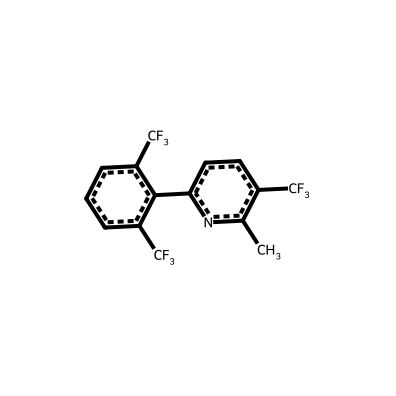 Cc1nc(-c2c(C(F)(F)F)cccc2C(F)(F)F)ccc1C(F)(F)F